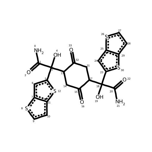 NC(=O)C(O)(c1cc2sccc2s1)C1CC(=O)C(C(O)(C(N)=O)c2cc3sccc3s2)CC1=O